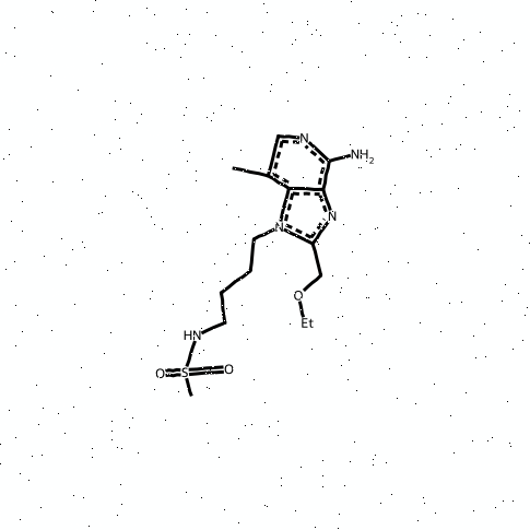 CCOCc1nc2c(N)ncc(C)c2n1CCCCNS(C)(=O)=O